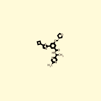 Cc1cnc(C(C)NC(=O)c2cc(OC[C@@H]3CCOC3)cc(-c3ncc(C4CCC4)s3)c2)cn1